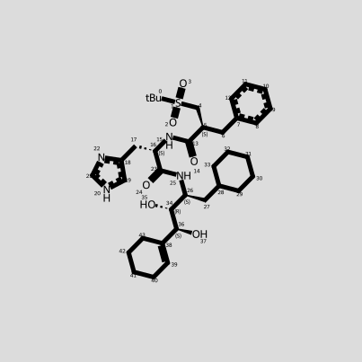 CC(C)(C)S(=O)(=O)C[C@@H](Cc1ccccc1)C(=O)N[C@@H](Cc1c[nH]cn1)C(=O)N[C@@H](CC1CCCCC1)[C@@H](O)[C@@H](O)C1=CCCCC1